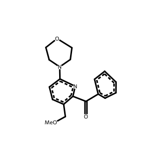 COCc1ccc(N2CCOCC2)nc1C(=O)c1ccccc1